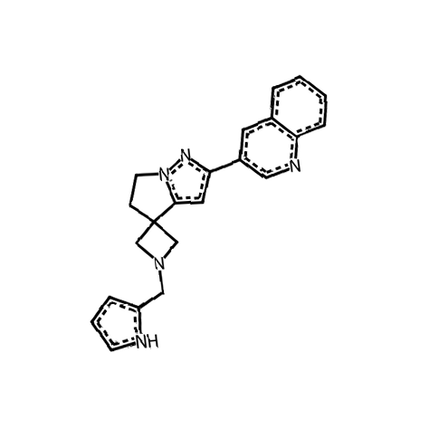 c1c[nH]c(CN2CC3(CCn4nc(-c5cnc6ccccc6c5)cc43)C2)c1